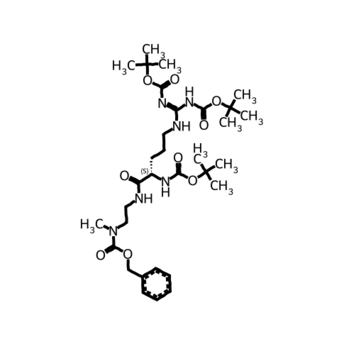 CN(CCNC(=O)[C@H](CCCNC(=NC(=O)OC(C)(C)C)NC(=O)OC(C)(C)C)NC(=O)OC(C)(C)C)C(=O)OCc1ccccc1